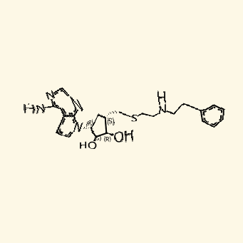 CNc1ncnc2c1ccn2[C@@H]1C[C@H](CSCCNCCc2ccccc2)[C@@H](O)[C@H]1O